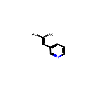 CC(=O)C(=Cc1cccnc1)C(C)=O